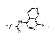 CC(=O)Nc1cnc(N)c2cnccc12